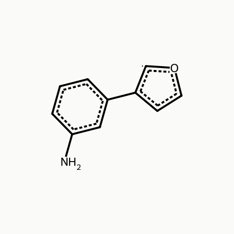 Nc1cccc(-c2[c]occ2)c1